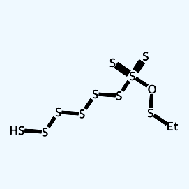 CCSOS(=S)(=S)SSSSSS